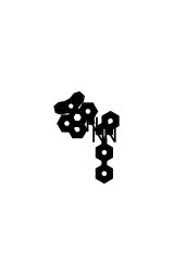 c1ccc(-c2ccc(-c3nc(-n4c5cccc6c5c5c7c(cccc7ccc54)C64c5ccccc5-c5ccccc54)c4ccccc4n3)cc2)cc1